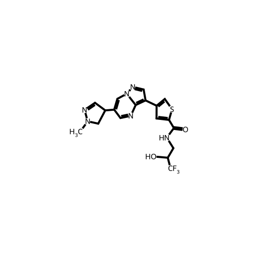 CN1CC(c2cnc3c(-c4csc(C(=O)NCC(O)C(F)(F)F)c4)cnn3c2)C=N1